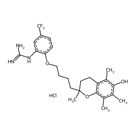 Cc1c(C)c2c(c(C)c1O)CCC(C)(CCCCOc1ccc(C(F)(F)F)cc1NC(=N)N)O2.Cl